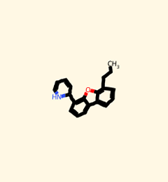 CCCc1cccc2c1oc1c(C3C=CC=CN3)cccc12